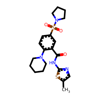 Cc1cnc(NC(=O)c2cc(S(=O)(=O)N3CCCC3)ccc2N2CCCCC2)s1